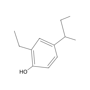 CCc1cc(C(C)CC)ccc1O